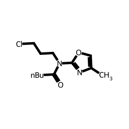 CCCCC(=O)N(CCCCl)c1nc(C)co1